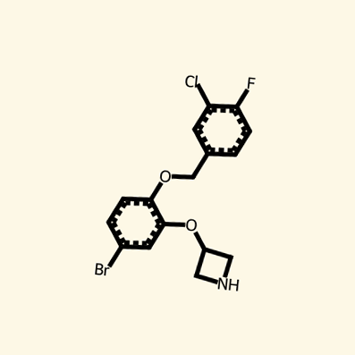 Fc1ccc(COc2ccc(Br)cc2OC2CNC2)cc1Cl